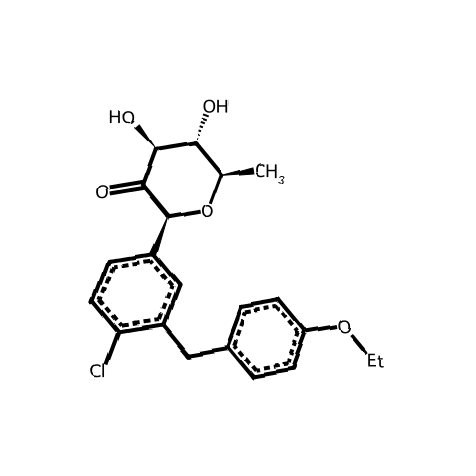 CCOc1ccc(Cc2cc([C@@H]3O[C@H](C)[C@@H](O)[C@H](O)C3=O)ccc2Cl)cc1